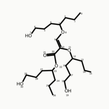 CCCC(CCCO)OC=C(OC(CCC)CCCO)C(=O)OC(CCC)CCCO